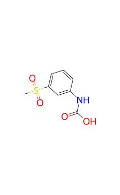 CS(=O)(=O)c1cccc(NC(=O)O)c1